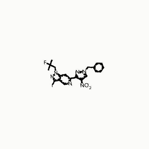 CC(C)(F)Cn1nc(I)c2cnc(-c3nn(Cc4ccccc4)cc3[N+](=O)[O-])cc21